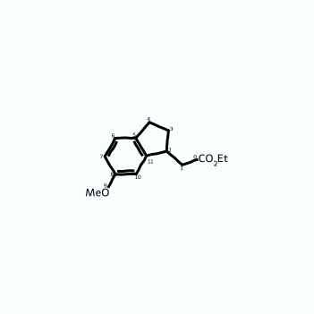 CCOC(=O)CC1CCc2ccc(OC)cc21